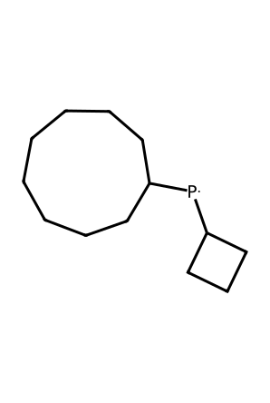 C1CCCCC([P]C2CCC2)CCC1